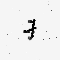 C=C(O)/C=C/C(C)=C(\CNC)OCCC(F)(F)F